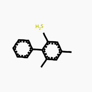 Cc1cc(C)c(-c2ccccc2)c(C)c1.S